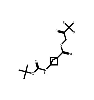 CC(C)(C)OC(=O)NC12CC(C(=N)SCC(=O)C(F)(F)F)(C1)C2